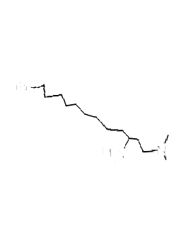 CC(C)CCCCCCCCCC(N)CCN(C)C